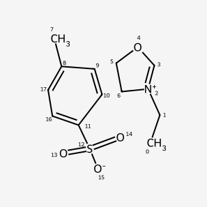 CC[N+]1=COCC1.Cc1ccc(S(=O)(=O)[O-])cc1